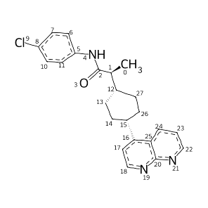 C[C@H](C(=O)Nc1ccc(Cl)cc1)[C@H]1CC[C@@H](c2ccnc3ncccc32)CC1